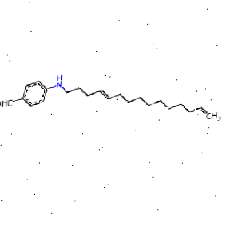 C=CCCCCCCCCC=CCCCNc1ccc(C=O)cc1